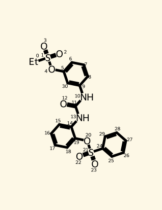 CCS(=O)(=O)Oc1cccc(NC(=O)Nc2ccccc2OS(=O)(=O)c2ccccc2)c1